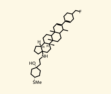 CS[C@H]1CC[C@](O)(CCNC23CCC[C@@H]2C2CCC4C5(C)CC=C(C6=CCC(CF)CC6)C(C)C5CCC4(C)[C@]2(C)CC3)CC1